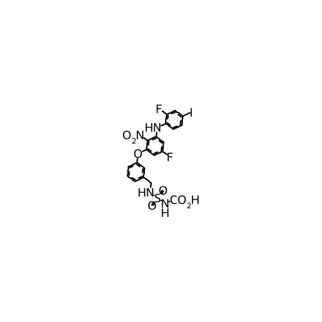 O=C(O)NS(=O)(=O)NCc1cccc(Oc2cc(F)cc(Nc3ccc(I)cc3F)c2[N+](=O)[O-])c1